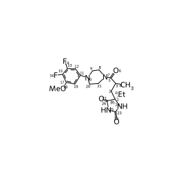 CC[C@]1(CC(C)C(=O)N2CCN(c3cc(F)c(F)c(OC)c3)CC2)NC(=O)NC1=O